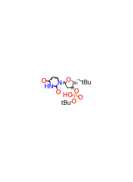 CC(C)(C)C[C@H]1O[C@@H](n2ccc(=O)[nH]c2=O)C[C@H]1OP(=O)(O)OC(C)(C)C